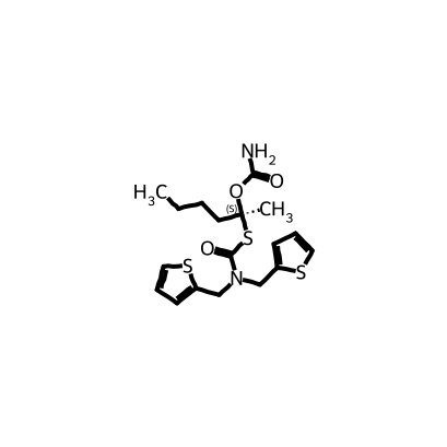 CCCC[C@@](C)(OC(N)=O)SC(=O)N(Cc1cccs1)Cc1cccs1